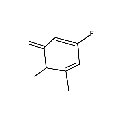 C=C1C=C(F)C=C(C)C1C